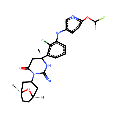 C[C@@]1(c2cccc(Nc3ccc(OC(F)F)nc3)c2Cl)CC(=O)N(C2C[C@H]3CC[C@@H](C2)O3)C(=N)N1